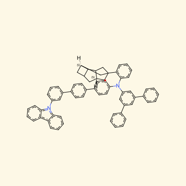 c1ccc(-c2cc(-c3ccccc3)cc(N(c3ccc(-c4ccc(-c5cccc(-n6c7ccccc7c7ccccc76)c5)cc4)cc3)c3ccccc3C34CC5C6C(C[C@H]5C3)C[C@H]6C4)c2)cc1